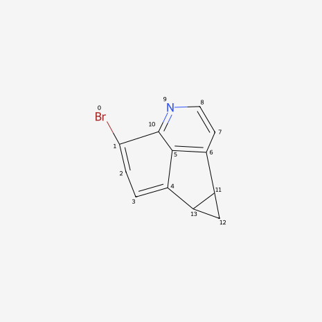 Brc1ccc2c3c(ccnc13)C1CC21